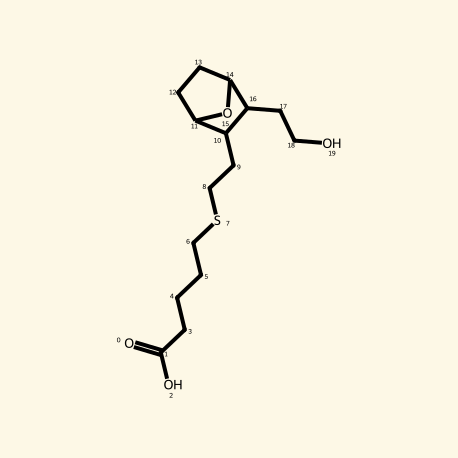 O=C(O)CCCCSCCC1C2CCC(O2)C1CCO